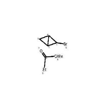 BrC1C2CC12.CCC(=O)OC